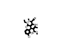 CCOC(=O)C1=C(C(C#N)OC)NC(C)=C(C(=O)OC)C1c1cccc(Cl)c1Cl